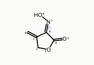 C=C1COC(=O)/C1=N/O